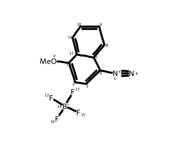 COc1ccc([N+]#N)c2ccccc12.F[B-](F)(F)F